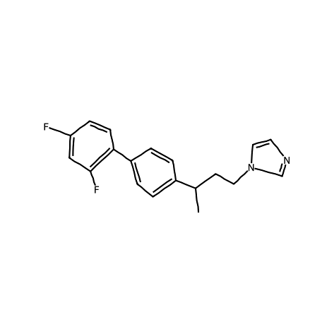 CC(CCn1ccnc1)c1ccc(-c2ccc(F)cc2F)cc1